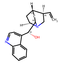 C=C[C@H]1CN2CC[C@H]1C[C@@H]2[C@H](O)c1ccnc2ccccc12